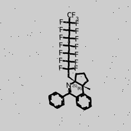 C[C@]12CCC[C@@]1(CC(F)(F)C(F)(F)C(F)(F)C(F)(F)C(F)(F)C(F)(F)C(F)(F)C(F)(F)F)N=C(c1ccccc1)c1ccccc12